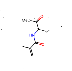 C=C(C)C(=O)NC(C(=O)OC)C(C)C